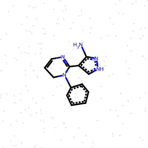 Nc1n[nH]cc1C1=NC=CCN1c1ccccc1